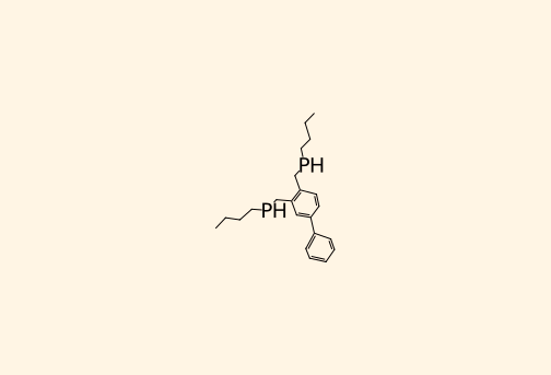 CCCCPCc1ccc(-c2ccccc2)cc1CPCCCC